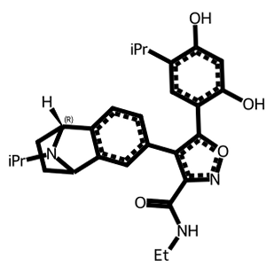 CCNC(=O)c1noc(-c2cc(C(C)C)c(O)cc2O)c1-c1ccc2c(c1)C1CC[C@H]2N1C(C)C